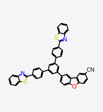 N#Cc1ccc2oc3ccc(-c4cc(-c5ccc(-c6nc7ccccc7s6)cc5)cc(-c5ccc(-c6nc7ccccc7s6)cc5)c4)cc3c2c1